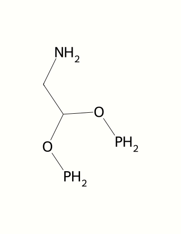 NCC(OP)OP